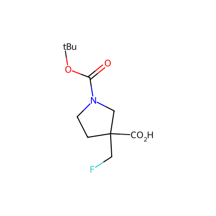 CC(C)(C)OC(=O)N1CCC(CF)(C(=O)O)C1